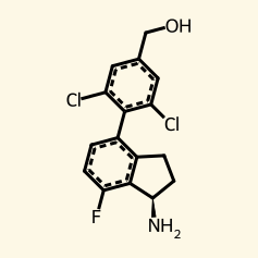 N[C@@H]1CCc2c(-c3c(Cl)cc(CO)cc3Cl)ccc(F)c21